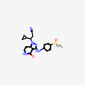 C[S+]([O-])c1ccc(Nc2nn(C(CC#N)C3CC3)c3cc[nH]c(=O)c23)cc1